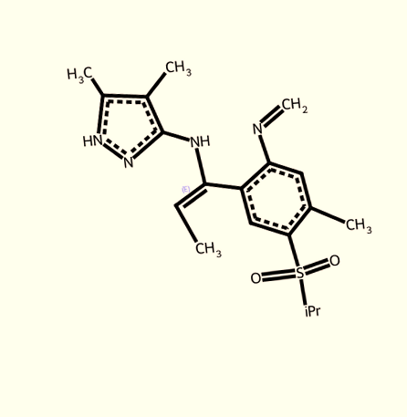 C=Nc1cc(C)c(S(=O)(=O)C(C)C)cc1/C(=C\C)Nc1n[nH]c(C)c1C